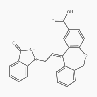 O=C(O)c1ccc2c(c1)/C(=C/Cn1[nH]c(=O)c3ccccc31)c1ccccc1CO2